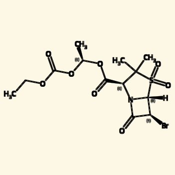 CCOC(=O)O[C@@H](C)OC(=O)[C@@H]1N2C(=O)[C@H](Br)[C@H]2S(=O)(=O)C1(C)C